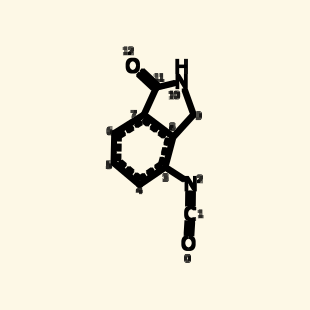 O=C=Nc1cccc2c1CNC2=O